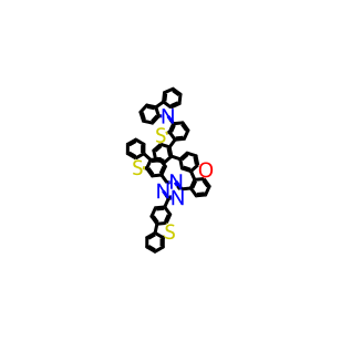 c1cc(-c2nc(-c3ccc4c(c3)sc3ccccc34)nc(-c3ccc4c(c3)sc3ccccc34)n2)c2c(c1)oc1ccc(-c3cccc4sc5c(-n6c7ccccc7c7ccccc76)cccc5c34)cc12